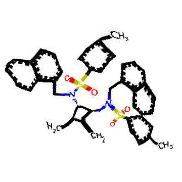 C=C1C(=C)[C@H](N(Cc2cccc3ccccc23)S(=O)(=O)c2ccc(C)cc2)[C@H]1N(Cc1cccc2ccccc12)S(=O)(=O)c1ccc(C)cc1